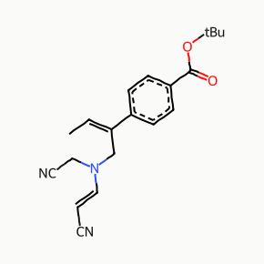 CC=C(CN(C=CC#N)CC#N)c1ccc(C(=O)OC(C)(C)C)cc1